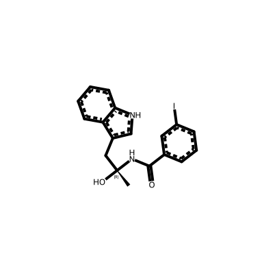 C[C@@](O)(Cc1c[nH]c2ccccc12)NC(=O)c1cccc(I)c1